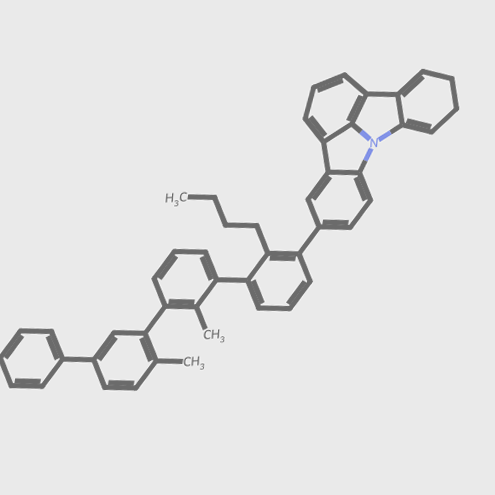 CCCCc1c(-c2ccc3c(c2)c2cccc4c5c(n3c42)=CCCC=5)cccc1-c1cccc(-c2cc(-c3ccccc3)ccc2C)c1C